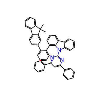 CC1(C)c2ccccc2-c2ccc(-c3ccccc3-c3cccc4c5ccccc5n(-c5nc(-c6ccccc6)cc(-c6ccccc6)n5)c34)cc21